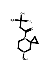 CSN1CCN(C(=O)CC(C)(C)O)C2(CC2)C1